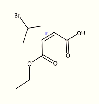 CC(C)Br.CCOC(=O)/C=C\C(=O)O